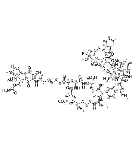 CC[C@]1(O)C[C@H]2CN(Cc3c([nH]c4ccccc34)[C@@](C(=O)OC)(c3cc4c(cc3OC)N(C)[C@H]3[C@@](O)(C(=O)N/N=C(/C)c5ccc(N6C(=O)CC(SC[C@H](NC(=O)[C@H](CNC(=O)CCSSCCNC7=C(C)C(=O)C8=C(C7=O)[C@@H](COC(N)=O)[C@@]7(OC)[C@H]9N[C@H]9CN87)NC(=O)[C@H](CC(=O)O)NC(=O)[C@@H](C)CCCNC(=N)N)C(=O)O)C6=O)cc5)[C@H](O)[C@]5(CC)C=CCC6CC[C@]43[C@@H]65)C2)C1